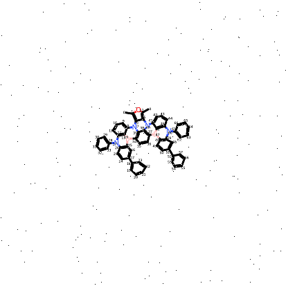 Cc1oc(C)c2c1N1c3cccc4c3B(c3cc(-c5ccccc5)ccc3N4c3ccccc3)c3ccc4c(c31)N2c1cccc2c1B4c1ccc(-c3ccccc3)cc1N2c1ccccc1